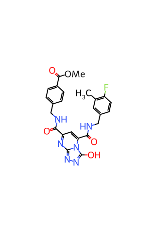 COC(=O)c1ccc(CNC(=O)c2cc(C(=O)NCc3ccc(F)c(C)c3)n3c(O)nnc3n2)cc1